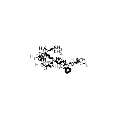 COC(=O)c1csc(N(CCCC(CN(C)CCN(C)C)O[Si](C)(C)C(C)(C)C)c2cc(C)c(/N=c3\sc4ccccc4n3COCC[Si](C)(C)C)nn2)n1